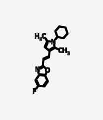 Cc1cc(/C=C/c2nc3cc(F)ccc3o2)c(C)n1C1CCCCC1